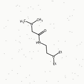 CCN(CC)CCNC(=O)CN(C)C